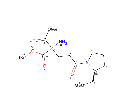 COC[C@@H]1CCCN1C(=O)CCC(N)(C(=O)OC)C(=O)OC(C)(C)C